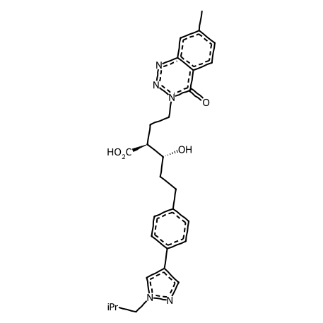 Cc1ccc2c(=O)n(CC[C@H](C(=O)O)[C@H](O)CCc3ccc(-c4cnn(CC(C)C)c4)cc3)nnc2c1